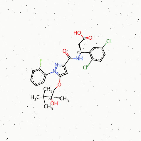 CC(C)(C)[C@](C)(O)COc1cc(C(=O)N[C@@H](CC(=O)O)c2cc(Cl)ccc2Cl)nn1-c1ccccc1F